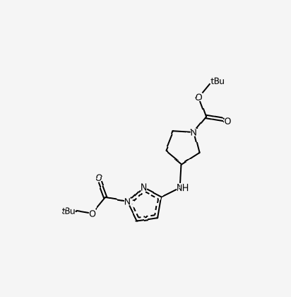 CC(C)(C)OC(=O)N1CCC(Nc2ccn(C(=O)OC(C)(C)C)n2)C1